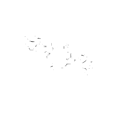 Nc1nc2c(ncn2[C@@H]2O[C@@H]3COP(=O)(S)CO[C@H]4[C@@H](F)[C@H](n5cnc6c(N)ncnc65)O[C@@H]4COP(=O)(S)O[C@@H]2[C@@H]3F)c(=O)[nH]1